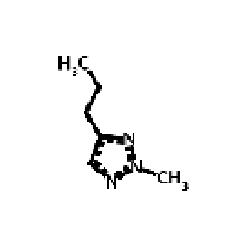 CCCc1cnn(C)n1